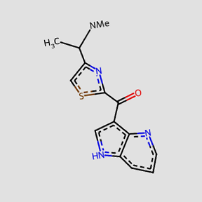 CNC(C)c1csc(C(=O)c2c[nH]c3cccnc23)n1